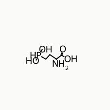 C[PH](O)(O)CCC(N)C(=O)O